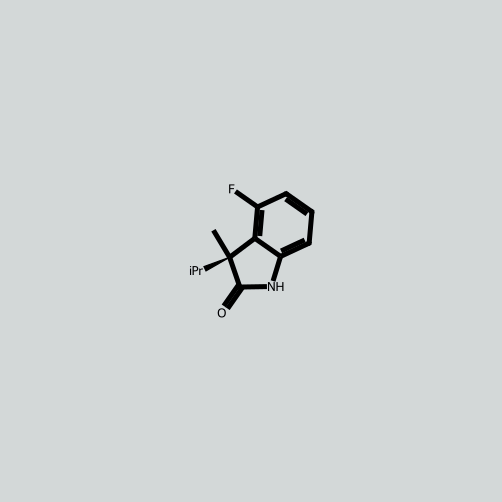 CC(C)[C@]1(C)C(=O)Nc2cccc(F)c21